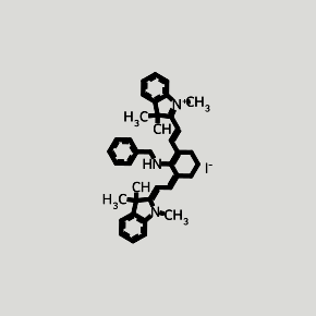 CN1C(=CC=C2CCCC(C=CC3=[N+](C)c4ccccc4C3(C)C)=C2NCc2ccccc2)C(C)(C)c2ccccc21.[I-]